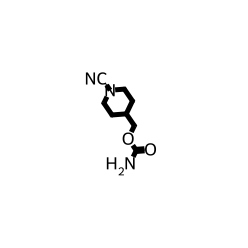 N#CN1CCC(COC(N)=O)CC1